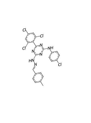 Cc1ccc(C=NNc2nc(Nc3ccc(Cl)cc3)nc(-c3c(Cl)cc(Cl)cc3Cl)n2)cc1